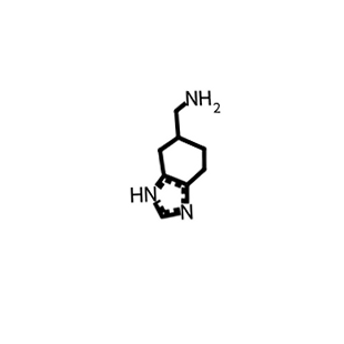 NCC1CCc2nc[nH]c2C1